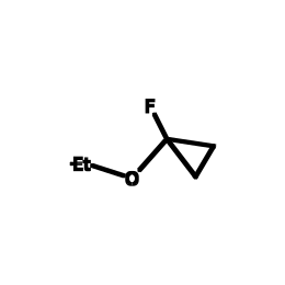 C[CH]OC1(F)CC1